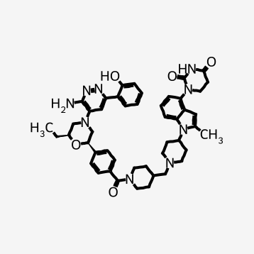 CC[C@H]1CN(c2cc(-c3ccccc3O)nnc2N)C[C@@H](c2ccc(C(=O)N3CCC(CN4CCC(n5c(C)cc6c(N7CCC(=O)NC7=O)cccc65)CC4)CC3)cc2)O1